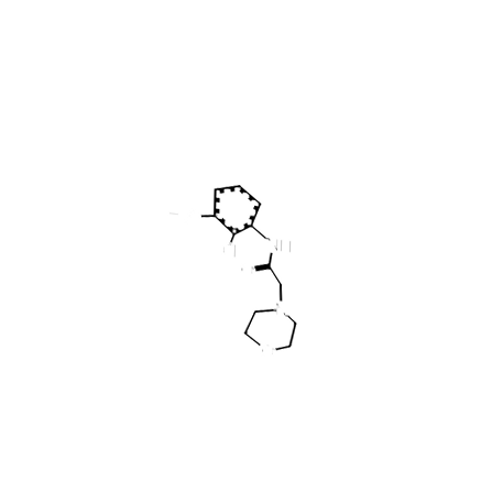 Cc1cccc(NC(=O)CN2CCOCC2)c1Cl